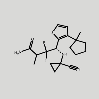 CC(C(N)=O)C(F)(F)[C@@H](NC1(C#N)CC1)c1sccc1C1(C)CCCC1